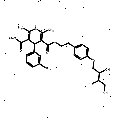 COC(=O)C1=C(C)NC(C)=C(C(=O)OCCc2ccc(OCC(O)C(O)CO)cc2)C1c1cccc([N+](=O)[O-])c1